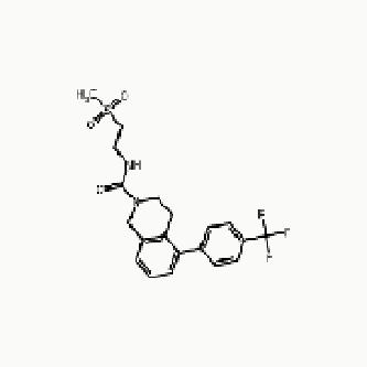 CS(=O)(=O)CCNC(=O)N1CCc2c(cccc2-c2ccc(C(F)(F)F)cc2)C1